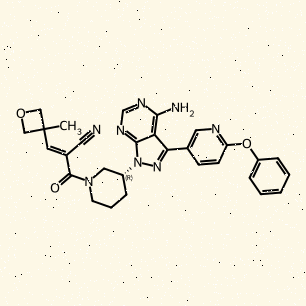 CC1(C=C(C#N)C(=O)N2CCC[C@@H](n3nc(-c4ccc(Oc5ccccc5)nc4)c4c(N)ncnc43)C2)COC1